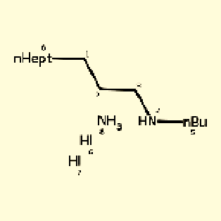 CCCCCCCCCCNCCCC.I.I.N